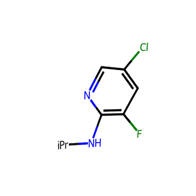 CC(C)Nc1ncc(Cl)cc1F